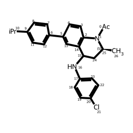 CC(=O)N1c2ccc(-c3ccc(C(C)C)cc3)cc2C(Nc2ccc(Cl)cc2)C[C@@H]1C